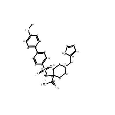 COc1ccc(-c2ccc(S(=O)(=O)NC3(C(=O)O)CCN(Cc4cccs4)CC3)cc2)cc1